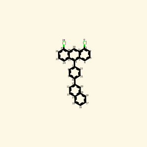 Clc1cccc2c(-c3ccc(-c4ccc5ccccc5c4)cc3)c3cccc(Cl)c3cc12